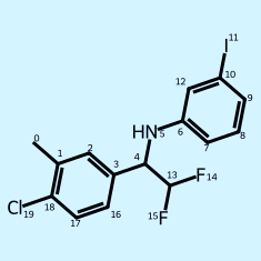 Cc1cc(C(Nc2cccc(I)c2)C(F)F)ccc1Cl